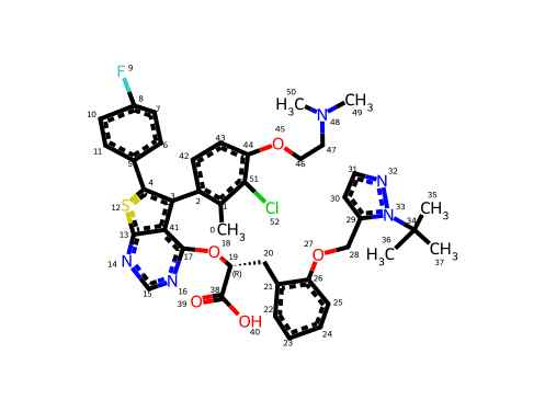 Cc1c(-c2c(-c3ccc(F)cc3)sc3ncnc(O[C@H](Cc4ccccc4OCc4ccnn4C(C)(C)C)C(=O)O)c23)ccc(OCCN(C)C)c1Cl